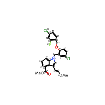 COC=Cc1cn(Cc2cc(Cl)ccc2OCc2ccc(Cl)cc2F)c2cccc(C(=O)OC)c12